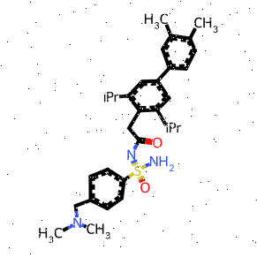 Cc1ccc(-c2cc(C(C)C)c(CC(=O)N=S(N)(=O)c3ccc(CN(C)C)cc3)c(C(C)C)c2)cc1C